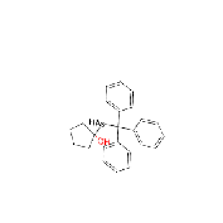 OC1([AsH]C(c2ccccc2)(c2ccccc2)c2ccccc2)CCCC1